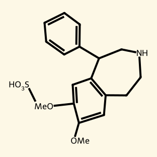 COc1cc2c(cc1OC)C(c1ccccc1)CNCC2.CS(=O)(=O)O